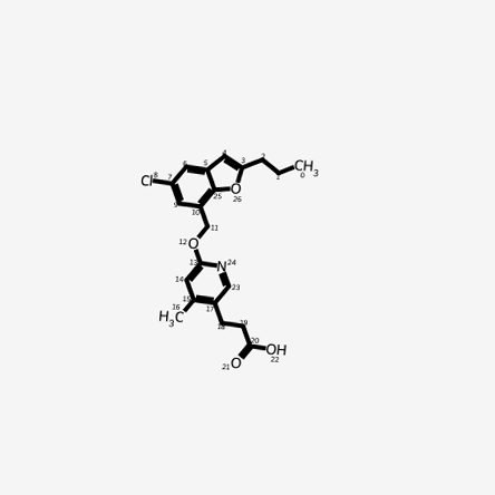 CCCc1cc2cc(Cl)cc(COc3cc(C)c(CCC(=O)O)cn3)c2o1